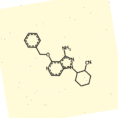 N#CC1CCCCC1n1nc(N)c2c(OCc3ccccc3)nccc21